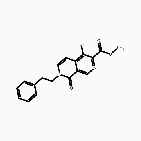 COC(=O)c1ncc2c(=O)n(CCc3ccccc3)ccc2c1O